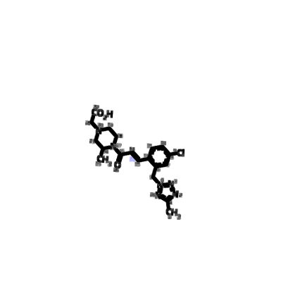 Cc1nnn(Cc2cc(Cl)ccc2/C=C/C(=O)N2CCN(CC(=O)O)CC2C)n1